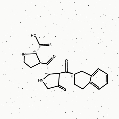 O=C(C1C(=S)CN[C@@H]1C(=O)C1CCN[C@@H]1C(O)=S)[C@@H]1CCc2ccccc2C1